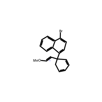 CO/C=C/C1(c2ccc(Br)c3ccccc23)C=CC=CC1